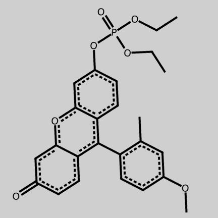 CCOP(=O)(OCC)Oc1ccc2c(-c3ccc(OC)cc3C)c3ccc(=O)cc-3oc2c1